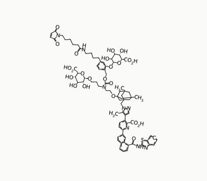 Cc1c(-c2ccc(-c3ccc4cccc(C(=O)Nc5nc6ccccc6s5)c4c3)nc2C(=O)O)cnn1CC12CC3(C)CC(C)(C1)CC(OCCN(CCCO[C@@H]1O[C@H](C(=O)O)[C@@H](O)[C@H](O)[C@H]1O)C(=O)OCc1ccc(CCCCNC(=O)CCCCCN4C(=O)C=CC4=O)cc1O[C@@H]1O[C@H](C(=O)O)[C@@H](O)[C@H](O)C1O)(C3)C2